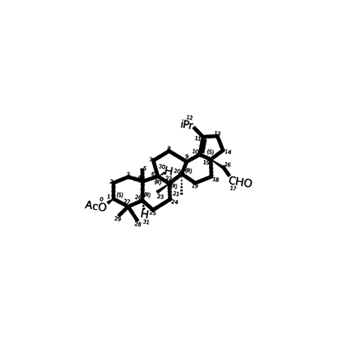 CC(=O)O[C@H]1CCC2(C)[C@H]3CCC4C5=C(C(C)C)CC[C@]5(CC=O)CC[C@@]4(C)[C@]3(C)CC[C@H]2C1(C)C